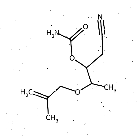 C=C(C)COC(C)C(CC#N)OC(N)=O